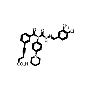 O=C(O)CCC#Cc1cccc(C(=O)N(C(=O)NN=Cc2ccc(Cl)c(C(F)(F)F)c2)c2ccc(N3CCCCC3)cc2)c1